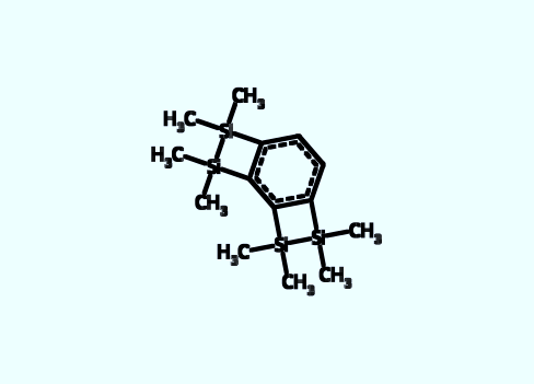 C[Si]1(C)c2ccc3c(c2[Si]1(C)C)[Si](C)(C)[Si]3(C)C